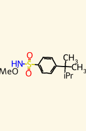 CONS(=O)(=O)c1ccc(C(C)(C)C(C)C)cc1